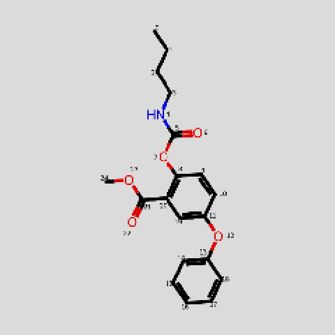 CCCCNC(=O)Oc1ccc(Oc2ccccc2)cc1C(=O)OC